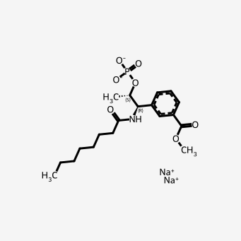 CCCCCCCC(=O)N[C@H](c1cccc(C(=O)OC)c1)[C@H](C)OP(=O)([O-])[O-].[Na+].[Na+]